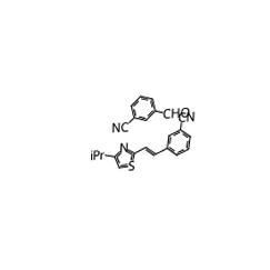 CC(C)c1csc(C=Cc2cccc(C#N)c2)n1.N#Cc1cccc(C=O)c1